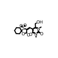 Cn1c(CO)c(/C=C2\C(=O)OC3(CCCCC3)S2(=O)=O)c(=O)n(C)c1=O